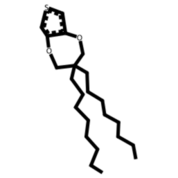 CCCCCCCCC1(CCCCCCCC)COc2cscc2OC1